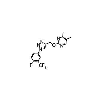 Cc1cnc(OCc2cn(-c3ccc(F)c(C(F)(F)F)c3)nn2)nc1C